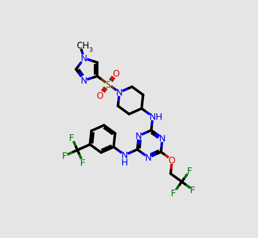 Cn1cnc(S(=O)(=O)N2CCC(Nc3nc(Nc4cccc(C(F)(F)F)c4)nc(OCC(F)(F)F)n3)CC2)c1